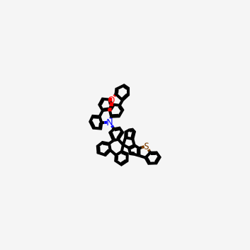 c1ccc(-c2ccccc2N(c2ccc3c(c2)-c2ccccc2-c2ccccc2C32c3ccccc3-c3c2ccc2c3sc3ccccc32)c2ccc3c(c2)oc2ccccc23)cc1